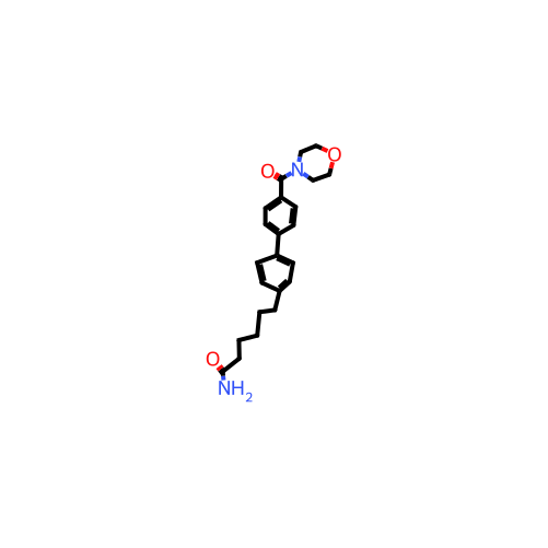 NC(=O)CCCCCc1ccc(-c2ccc(C(=O)N3CCOCC3)cc2)cc1